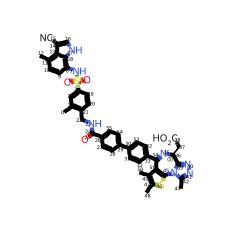 Cc1cc(S(=O)(=O)Nc2ccc(C)c3c(C#N)c[nH]c23)ccc1CNC(=O)c1ccc(-c2ccc(C3=N[C@@H](CC(=O)O)c4nnc(C)n4-c4sc(C)c(C)c43)cc2)cc1